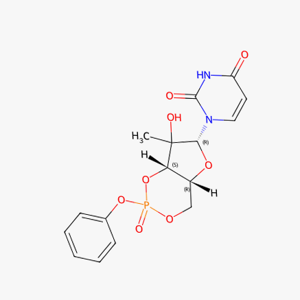 CC1(O)[C@H]2OP(=O)(Oc3ccccc3)OC[C@H]2O[C@H]1n1ccc(=O)[nH]c1=O